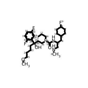 CNCC(CC1CCC(F)CC1)NC(=O)N1CCC[C@@H]([C@@](O)(CCCCOC)c2cc(F)ccc2F)C1